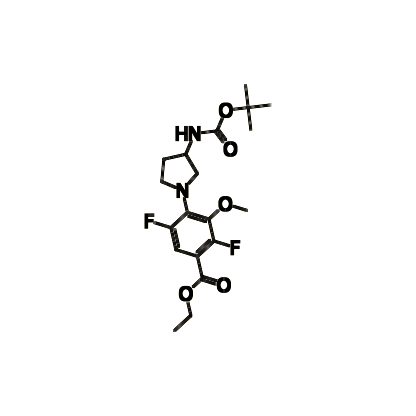 CCOC(=O)c1cc(F)c(N2CCC(NC(=O)OC(C)(C)C)C2)c(OC)c1F